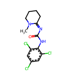 CN1CCCC/C1=N/C(=O)Nc1c(Cl)cc(Cl)cc1Cl